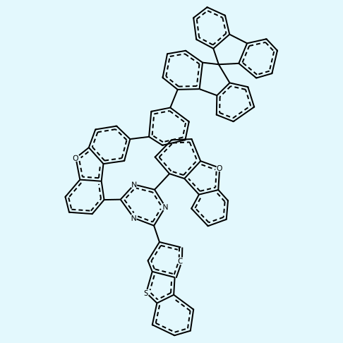 c1cc(-c2ccc3oc4cccc(-c5nc(-c6ccc7c(c6)sc6ccccc67)nc(-c6cccc7oc8ccccc8c67)n5)c4c3c2)cc(-c2cccc3c2-c2ccccc2C32c3ccccc3-c3ccccc32)c1